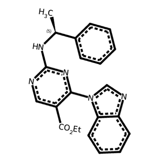 CCOC(=O)c1cnc(N[C@@H](C)c2ccccc2)nc1-n1cnc2ccccc21